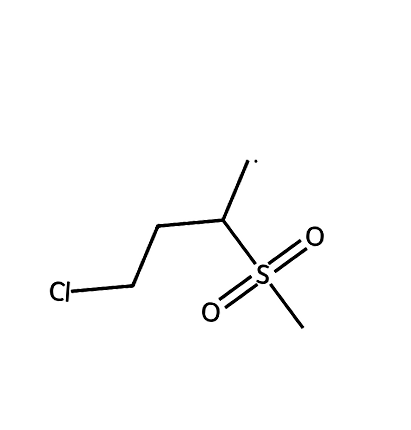 [CH2]C(CCCl)S(C)(=O)=O